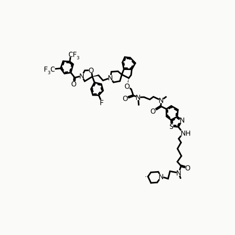 CN(CCN1CC[CH]CC1)C(=O)CCCCCNc1nc2ccc(C(=O)N(C)CCCN(C)C(=O)CO[C@H]3Cc4ccccc4C34CCN(CC[C@@]3(c5ccc(F)cc5)CN(C(=O)c5cc(C(F)(F)F)cc(C(F)(F)F)c5)CO3)CC4)cc2s1